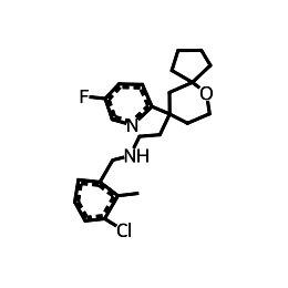 Cc1c(Cl)cccc1CNCCC1(c2ccc(F)cn2)CCOC2(CCCC2)C1